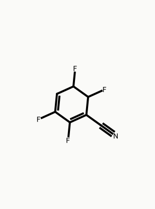 N#CC1=C(F)C(F)=CC(F)C1F